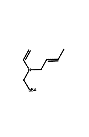 C=CN(CC=CC)CCCCC